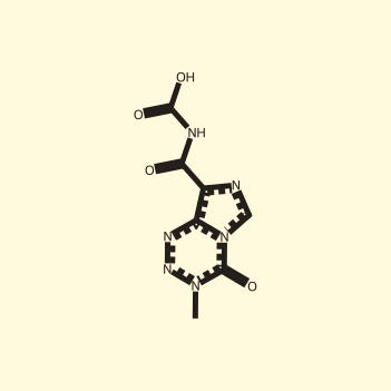 Cn1nnc2c(C(=O)NC(=O)O)ncn2c1=O